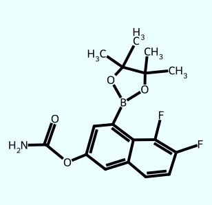 CC1(C)OB(c2cc(OC(N)=O)cc3ccc(F)c(F)c23)OC1(C)C